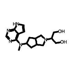 CN(c1ncnc2[nH]ccc12)C1CC2CN(C(CO)CO)CC2C1